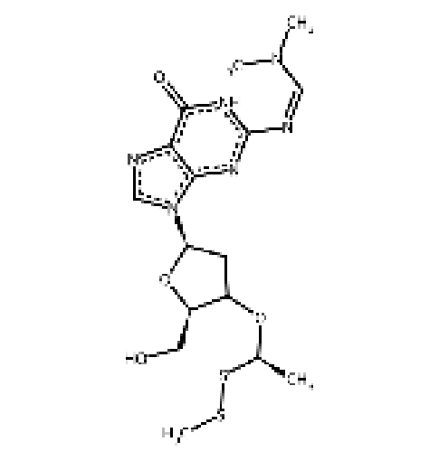 CSS[C@H](C)OC1C[C@H](n2cnc3c(=O)[nH]c(/N=C\N(C)C)nc32)O[C@@H]1CO